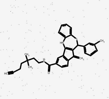 C#CCCC(C)(C)CCNC(=O)c1ccc2c(c1)C1=C(C2=C)C(c2cccc(C)c2)Sc2ccccc2N1